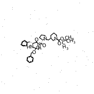 CC(C)(C)OC(=O)N1CCCC(CN2CCC[C@H]2C(=O)NC(=O)[C@@H](Cc2ccccc2)NC(=O)OCc2ccccc2)C1